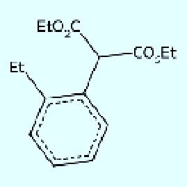 CCOC(=O)C(C(=O)OCC)c1ccccc1CC